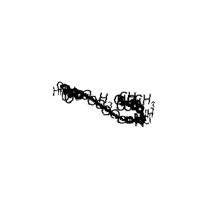 CN(C)C(=O)COc1cc2cc(Nc3nc(N4CCC(OCCOCCOCCOCCOCCOc5ccc6c(c5)CN(C5CCC(=O)NC5=O)C6=O)CC4)ncc3Cl)ccc2n(C)c1=O